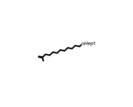 [CH2]CCCCCCCCCCCCCCCCC(=C)C